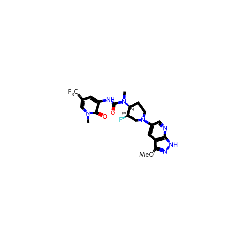 COc1n[nH]c2ncc(N3CC[C@H](N(C)C(=O)Nc4cc(C(F)(F)F)cn(C)c4=O)[C@H](F)C3)cc12